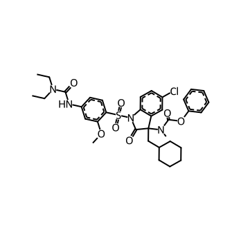 CCN(CC)C(=O)Nc1ccc(S(=O)(=O)N2C(=O)C(CC3CCCCC3)(N(C)C(=O)Oc3ccccc3)c3cc(Cl)ccc32)c(OC)c1